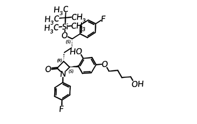 CC(C)(C)[Si](C)(C)O[C@@H](CC[C@H]1C(=O)N(c2ccc(F)cc2)[C@@H]1c1ccc(OCCCCO)cc1O)c1ccc(F)cc1